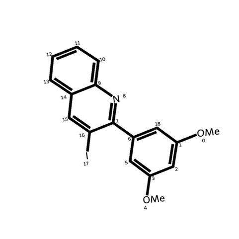 COc1cc(OC)cc(-c2nc3ccccc3cc2I)c1